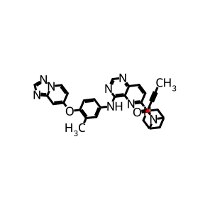 CC#CC(=O)N1C2CC1CN(c1ccc3ncnc(Nc4ccc(Oc5ccn6ncnc6c5)c(C)c4)c3n1)C2